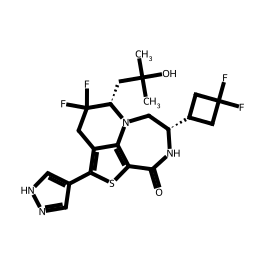 CC(C)(O)C[C@@H]1N2C[C@H](C3CC(F)(F)C3)NC(=O)c3sc(-c4cn[nH]c4)c(c32)CC1(F)F